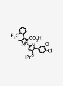 Cc1nn(-c2nc(-c3ccc(Cl)c(Cl)c3)c(SC(C)C)s2)c(C(=O)O)c1-c1ccccc1C(F)(F)F